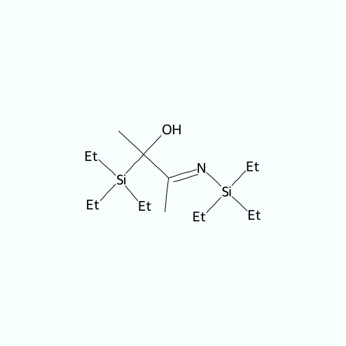 CC[Si](CC)(CC)N=C(C)C(C)(O)[Si](CC)(CC)CC